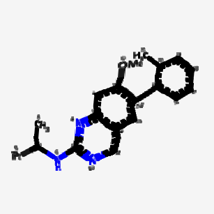 COc1cc2nc(NC(C)C(C)C)ncc2cc1-c1ccccc1C